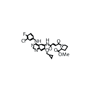 COC(=O)C1CCCN1C(=O)C=CC(=O)Nc1cc2c(Nc3ccc(F)c(Cl)c3)ncnc2cc1OCC1CC1